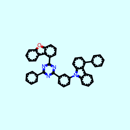 c1ccc(-c2nc(-c3cccc(-n4c5ccccc5c5c(-c6ccccc6)cccc54)c3)nc(-c3cccc4oc5ccccc5c34)n2)cc1